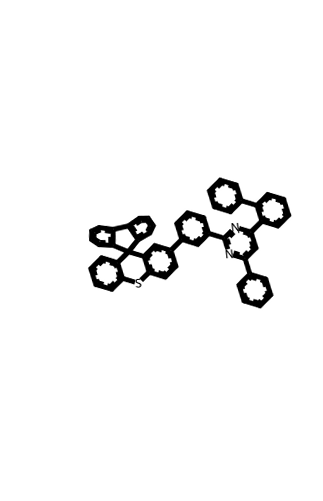 c1ccc(-c2cc(-c3ccccc3-c3ccccc3)nc(-c3cccc(-c4ccc5c(c4)C4(c6ccccc6S5)c5ccccc5-c5ccccc54)c3)n2)cc1